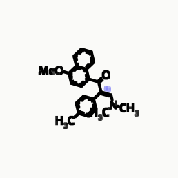 COc1ccc(C(=O)/C(=C/N(C)C)c2ccc(C)cc2)c2ccccc12